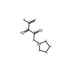 C=C(C)C(=O)C(=O)CN1CCCC1